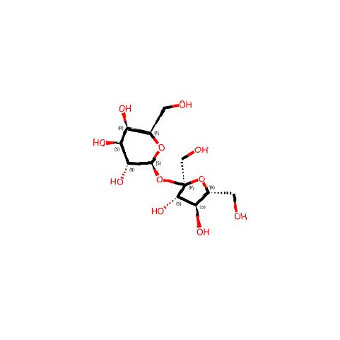 OC[C@H]1O[C@@H](O[C@@]2(CO)O[C@H](CO)[C@@H](O)[C@@H]2O)[C@H](O)[C@@H](O)[C@H]1O